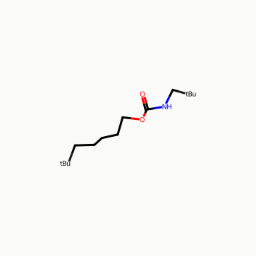 CC(C)(C)CCCCCOC(=O)NCC(C)(C)C